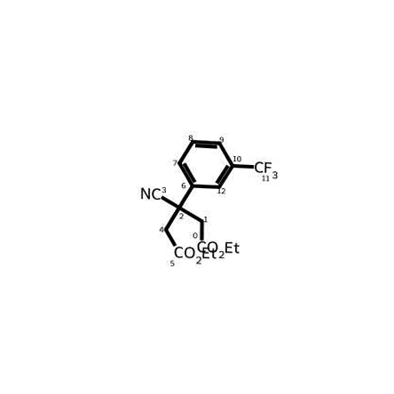 CCOC(=O)CC(C#N)(CC(=O)OCC)c1cccc(C(F)(F)F)c1